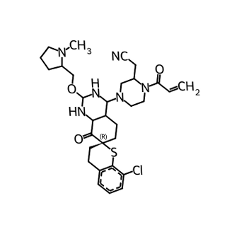 C=CC(=O)N1CCN(C2NC(OCC3CCCN3C)NC3C(=O)[C@]4(CCc5cccc(Cl)c5S4)CCC32)CC1CC#N